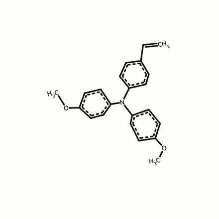 C=Cc1ccc(N(c2ccc(OC)cc2)c2ccc(OC)cc2)cc1